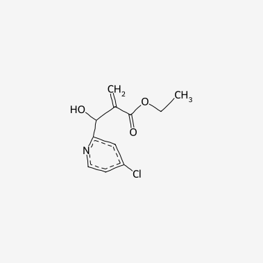 C=C(C(=O)OCC)C(O)c1cc(Cl)ccn1